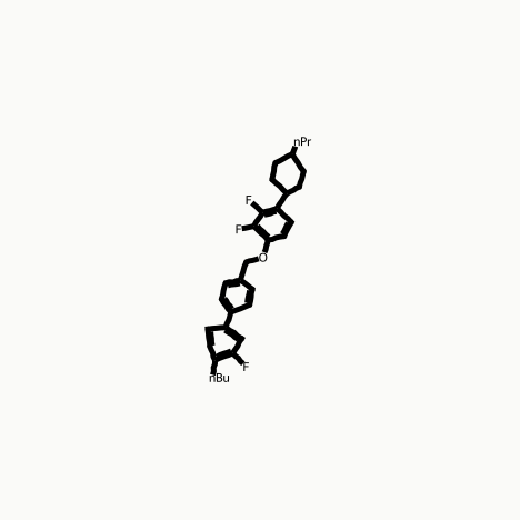 CCCCc1ccc(-c2ccc(COc3ccc(C4CCC(CCC)CC4)c(F)c3F)cc2)cc1F